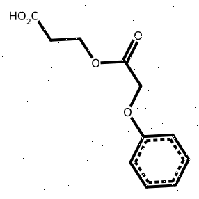 O=C(O)CCOC(=O)COc1ccccc1